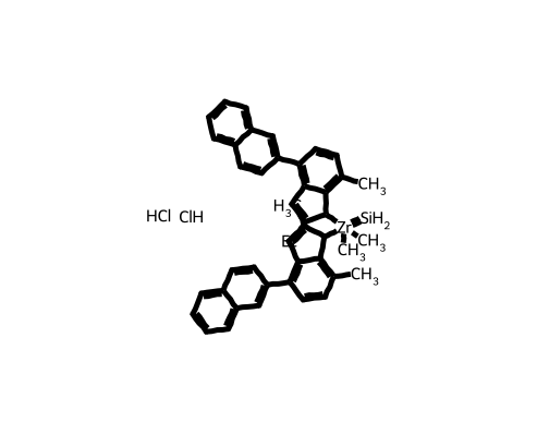 CCC1=Cc2c(-c3ccc4ccccc4c3)ccc(C)c2[CH]1[Zr]([CH3])([CH3])(=[SiH2])[CH]1C(C)=Cc2c(-c3ccc4ccccc4c3)ccc(C)c21.Cl.Cl